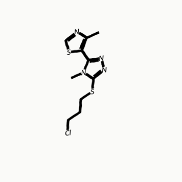 Cc1ncsc1-c1nnc(SCCCCl)n1C